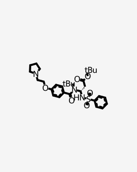 CC(C)(C)OC(=O)C[C@H](NS(=O)(=O)c1ccccc1)N(C(=O)c1ccc(OCCN2CCCC2)cc1)C(C)(C)C